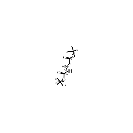 CC(C)(C)OC(=O)CNNC(=O)OC(C)(C)C